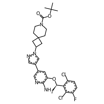 C[C@@H](Oc1cc(-c2cnn(C3CC4(CCN(C(=O)OC(C)(C)C)CC4)C3)c2)cnc1N)c1c(Cl)ccc(F)c1Cl